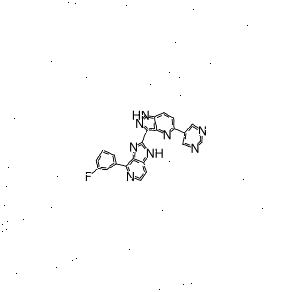 Fc1cccc(-c2nccc3[nH]c(-c4n[nH]c5ccc(-c6cncnc6)nc45)nc23)c1